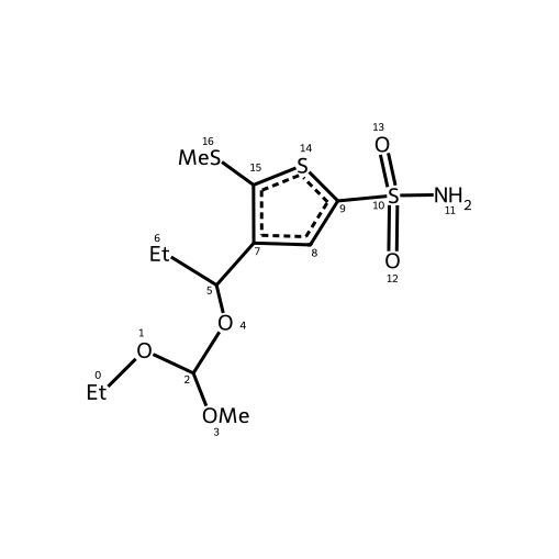 CCOC(OC)OC(CC)c1cc(S(N)(=O)=O)sc1SC